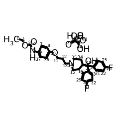 CCOC(=O)Nc1ccc(OCCCN2CCC(C(O)(c3ccc(F)cc3)c3ccc(F)cc3)CC2)cc1.O.O=C(O)C(=O)O